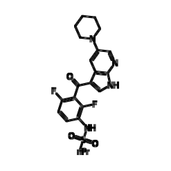 CCCS(=O)(=O)Nc1ccc(F)c(C(=O)c2c[nH]c3ncc(N4CCCCC4)cc23)c1F